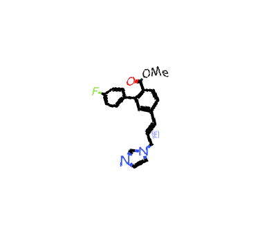 COC(=O)c1ccc(/C=C/Cn2ccnc2)cc1-c1ccc(F)cc1